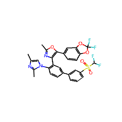 Cc1cn(-c2ccc(-c3cccc(S(=O)(=O)C(F)F)c3)cc2-c2nc(C)oc2-c2ccc3c(c2)OC(F)(F)O3)c(C)n1